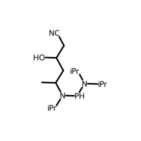 CC(C)N(PN(C(C)C)C(C)CC(O)CC#N)C(C)C